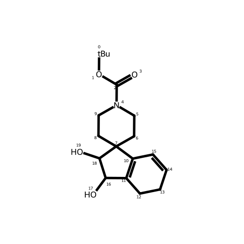 CC(C)(C)OC(=O)N1CCC2(CC1)C1=C(CCC=C1)C(O)C2O